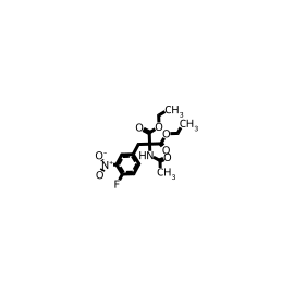 CCOC(=O)C(Cc1ccc(F)c([N+](=O)[O-])c1)(NC(C)=O)C(=O)OCC